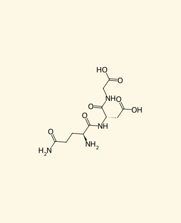 NC(=O)CC[C@H](N)C(=O)N[C@@H](CC(=O)O)C(=O)NCC(=O)O